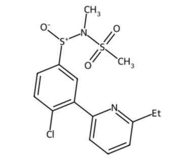 CCc1cccc(-c2cc([S+]([O-])N(C)S(C)(=O)=O)ccc2Cl)n1